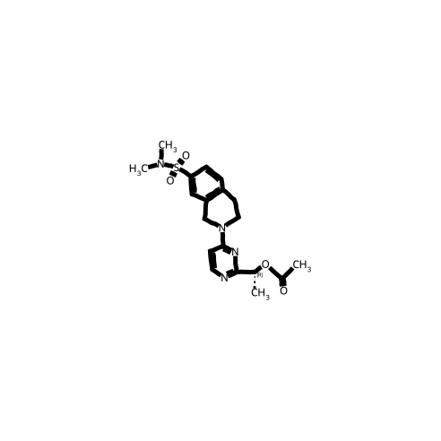 CC(=O)O[C@H](C)c1nccc(N2CCc3ccc(S(=O)(=O)N(C)C)cc3C2)n1